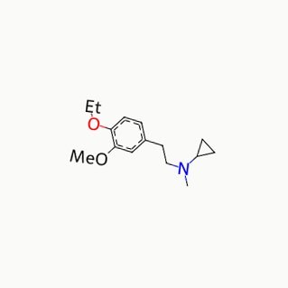 CCOc1ccc(CCN(C)C2CC2)cc1OC